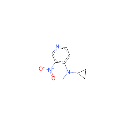 CN(c1ccncc1[N+](=O)[O-])C1CC1